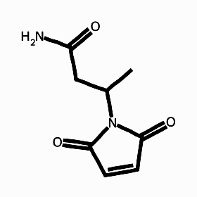 CC(CC(N)=O)N1C(=O)C=CC1=O